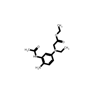 CCOC(=O)CN(CC)c1ccc(N)c(NC(C)=O)c1